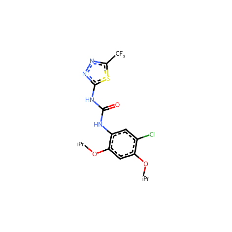 CC(C)Oc1cc(OC(C)C)c(NC(=O)Nc2nnc(C(F)(F)F)s2)cc1Cl